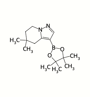 CC1(C)CCn2ncc(B3OC(C)(C)C(C)(C)O3)c2C1